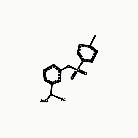 CC(=O)OC(C(C)=O)c1cccc(OS(=O)(=O)c2ccc(C)cc2)c1